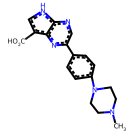 CN1CCN(c2ccc(-c3cnc4[nH]cc(C(=O)O)c4n3)cc2)CC1